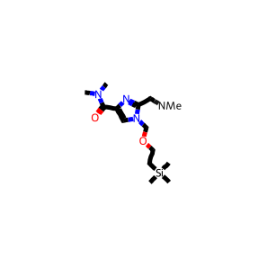 CNCc1nc(C(=O)N(C)C)cn1COCC[Si](C)(C)C